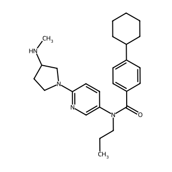 CCCN(C(=O)c1ccc(C2CCCCC2)cc1)c1ccc(N2CCC(NC)C2)nc1